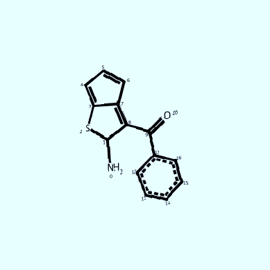 NC1SC2=CC=CC2=C1C(=O)c1ccccc1